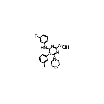 Cc1cccc(N2C(N3CCOCC3)=NC(N)=NC2Nc2cccc(F)c2)c1.Cl